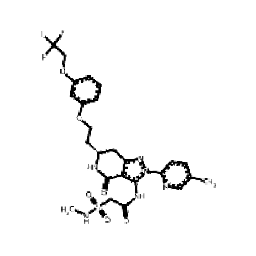 CNS(=O)(=O)CC(=O)Nc1c2c(nn1-c1ccc(C)cn1)C[C@H](CCOc1cccc(OCC(F)(F)F)c1)NC2=O